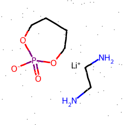 NCCN.O=P1([O-])OCCCCO1.[Li+]